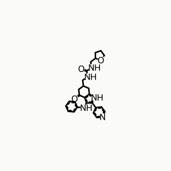 O=C(NCC1CC(=O)c2c([nH]c(-c3ccncc3)c2Nc2ccccc2)C1)NCC1CCCO1